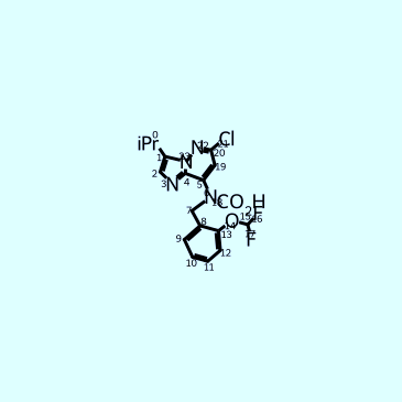 CC(C)c1cnc2c(N(Cc3ccccc3OC(F)F)C(=O)O)cc(Cl)nn12